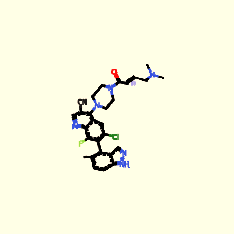 Cc1ccc2[nH]ncc2c1-c1c(Cl)cc2c(N3CCN(C(=O)/C=C/CN(C)C)CC3)c(C#N)cnc2c1F